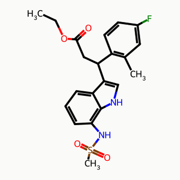 CCOC(=O)CC(c1ccc(F)cc1C)c1c[nH]c2c(NS(C)(=O)=O)cccc12